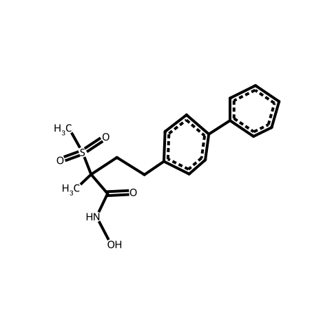 CC(CCc1ccc(-c2ccccc2)cc1)(C(=O)NO)S(C)(=O)=O